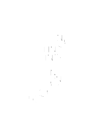 FC(F)(F)Oc1ccc(-c2ccnc(N3CCC(NC(=S)Nc4cccnc4)CC3)c2)cc1